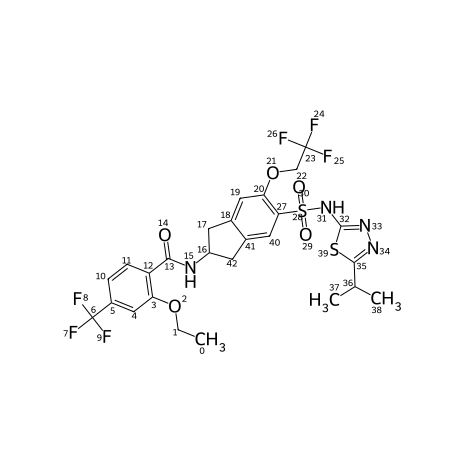 CCOc1cc(C(F)(F)F)ccc1C(=O)NC1Cc2cc(OCC(F)(F)F)c(S(=O)(=O)Nc3nnc(C(C)C)s3)cc2C1